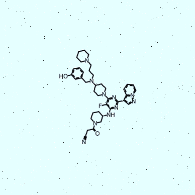 N#CCC(=O)N1CCC[C@@H](Nc2nc(-c3cnn4ccccc34)nc(N3CCC(N(CCCN4CCCCC4)Cc4cccc(O)c4)CC3)c2F)C1